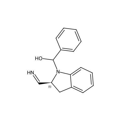 N=C[C@@H]1Cc2ccccc2N1C(O)c1ccccc1